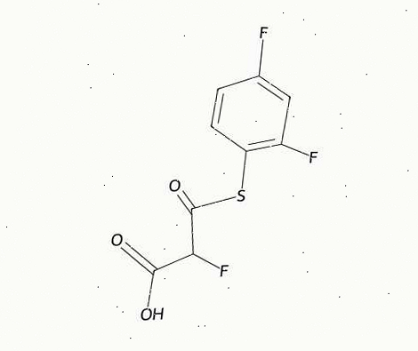 O=C(O)C(F)C(=O)Sc1ccc(F)cc1F